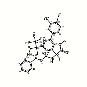 COC(=O)C(C)(NC(=O)OCc1ccccc1)c1cc(-c2ccc(F)c(Cl)c2)nc(C(I)(CN)C(F)(F)F)c1